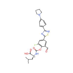 CC(C)C[C@H](NC(=O)Oc1c(F)cc(-c2nc(-c3ccc(N4CCCC4)cc3)ns2)cc1C=O)C(=O)O